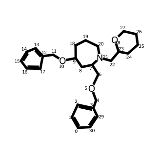 c1ccc(COCC2CC(OCc3ccccc3)CCCN2CC2CCCCO2)cc1